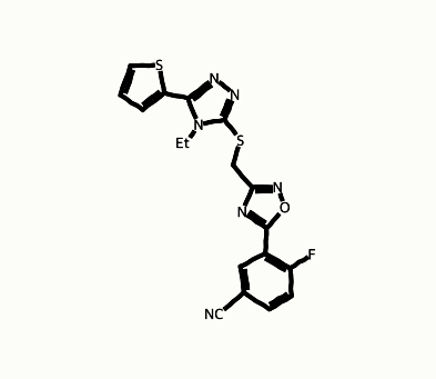 CCn1c(SCc2noc(-c3cc(C#N)ccc3F)n2)nnc1-c1cccs1